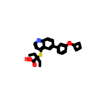 CCC(CC)(Sc1ccnc2ccc(-c3cccc(OC4CCC4)c3)cc12)C(=O)O